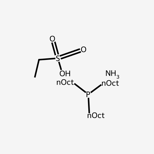 CCCCCCCCP(CCCCCCCC)CCCCCCCC.CCS(=O)(=O)O.N